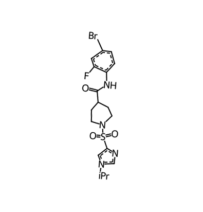 CC(C)n1cnc(S(=O)(=O)N2CCC(C(=O)Nc3ccc(Br)cc3F)CC2)c1